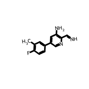 Cc1cc(-c2cnc(C=N)c(N)c2)ccc1F